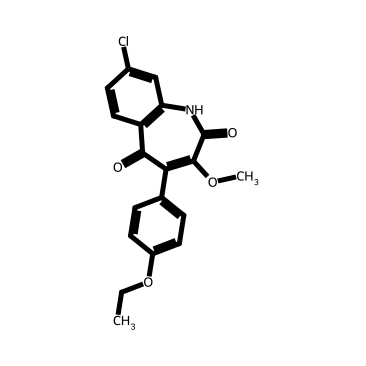 CCOc1ccc(-c2c(OC)c(=O)[nH]c3cc(Cl)ccc3c2=O)cc1